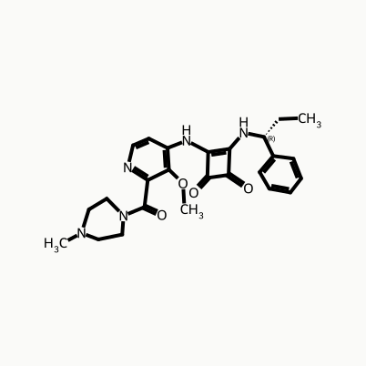 CC[C@@H](Nc1c(Nc2ccnc(C(=O)N3CCN(C)CC3)c2OC)c(=O)c1=O)c1ccccc1